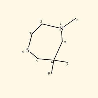 CN1CCSCC(C)(C)C1